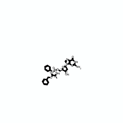 C[C@H](NP(=O)(OC[C@H]1O[C@@H](n2cnc3c(=O)[nH]c(N)nc32)C[C@H]1O)Oc1ccccc1)C(=O)OCc1ccccc1